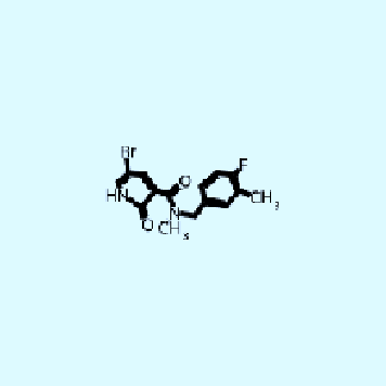 Cc1cc(CN(C)C(=O)c2cc(Br)c[nH]c2=O)ccc1F